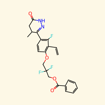 C=Cc1c(OCC(F)(F)COC(=O)c2ccccc2)ccc(C2=NNC(=O)CC2C)c1F